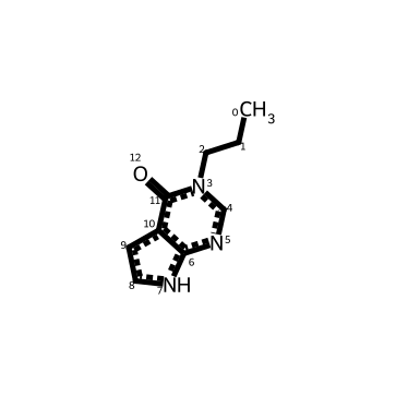 CCCn1cnc2[nH]ccc2c1=O